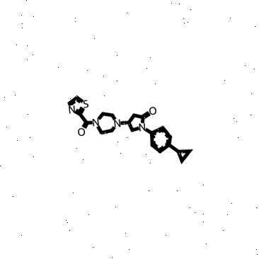 O=C(c1nccs1)N1CCN(C2CC(=O)N(c3ccc(C4CC4)cc3)C2)CC1